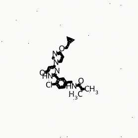 CC(C)C(=O)NCc1ccc(Cl)c(-c2nc(N3C=CC(OCC4CC4)=NC3)cc(=O)[nH]2)c1